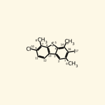 Cc1cc2c(sc3c(C)c(Cl)ccc32)c(C)c1I